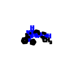 C[C@H]1CN(c2ccc(Nc3ncc4c5ccccc5n(C5CCCC5)c4n3)nn2)CCN1